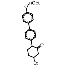 CCCCCCCCOc1ccc(-c2ccc(C3CCC(CC)CC3=O)cc2)cc1